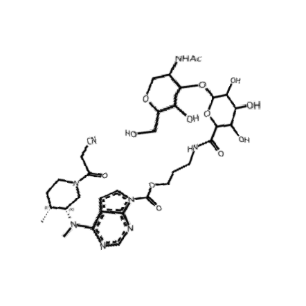 CC(=O)NC1COC(CO)C(O)C1OC1OC(C(=O)NCCCOC(=O)n2ccc3c(N(C)[C@H]4CN(C(=O)CC#N)CC[C@H]4C)ncnc32)C(O)C(O)C1O